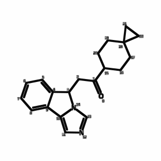 O=C(CC1c2ccccc2-c2cncn21)C1CCC2(CC1)CC2